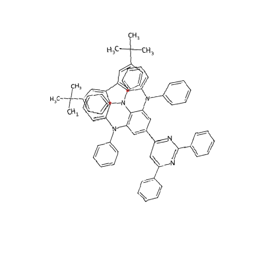 CC(C)(C)c1ccc2c(c1)c1cc(C(C)(C)C)ccc1n2-c1c(N(c2ccccc2)c2ccccc2)cc(-c2cc(-c3ccccc3)nc(-c3ccccc3)n2)cc1N(c1ccccc1)c1ccccc1